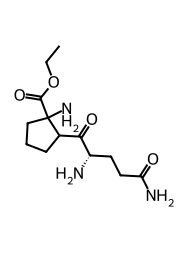 CCOC(=O)C1(N)CCCC1C(=O)[C@@H](N)CCC(N)=O